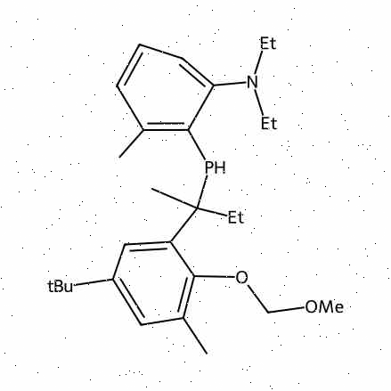 CCN(CC)c1cccc(C)c1PC(C)(CC)c1cc(C(C)(C)C)cc(C)c1OCOC